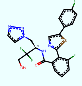 O=C(N[C@H](Cn1ccnn1)C(F)(F)CO)c1cccc(F)c1-c1ncc(-c2ccc(F)cc2)s1